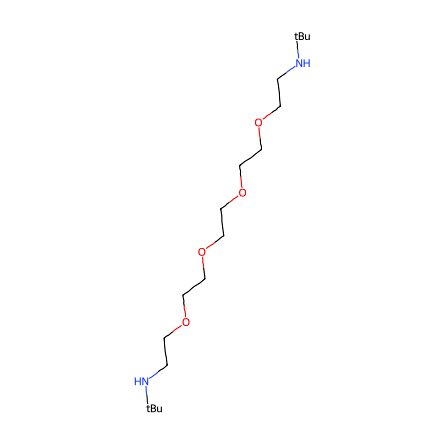 CC(C)(C)NCCOCCOCCOCCOCCNC(C)(C)C